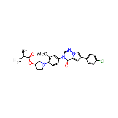 COc1cc(-n2cnn3cc(-c4ccc(Cl)cc4)cc3c2=O)ccc1N1CC[C@@H](OC(=O)[C@@H](C)C(C)C)C1